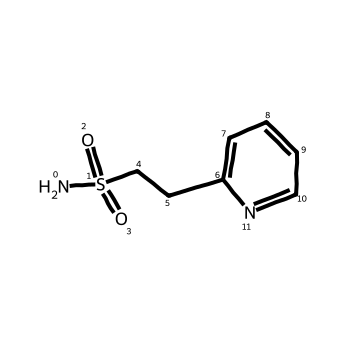 NS(=O)(=O)CCc1ccccn1